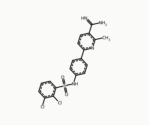 Cc1nc(-c2ccc(NS(=O)(=O)c3cccc(Cl)c3Cl)cc2)ccc1C(=N)N